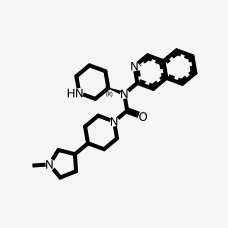 CN1CCC(C2CCN(C(=O)N(c3cc4ccccc4cn3)[C@@H]3CCCNC3)CC2)C1